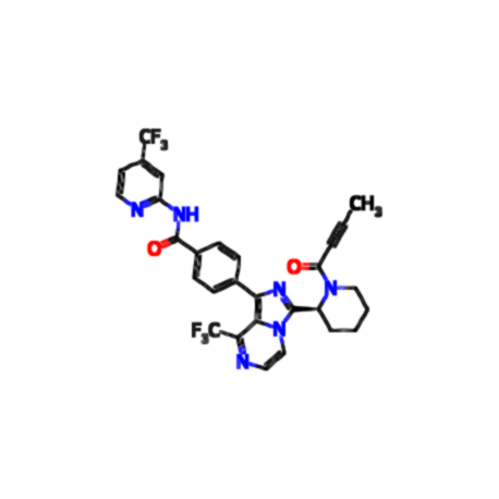 CC#CC(=O)N1CCCC[C@H]1c1nc(-c2ccc(C(=O)Nc3cc(C(F)(F)F)ccn3)cc2)c2c(C(F)(F)F)nccn12